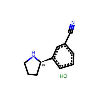 Cl.N#Cc1cccc([C@H]2CCCN2)c1